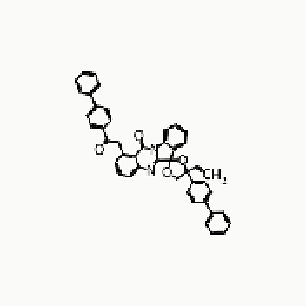 C=CC1(c2ccc(-c3ccccc3)cc2)COC2(O1)c1ccccc1-n1c2nc2cccc(CC(=O)c3ccc(-c4ccccc4)cc3)c2c1=O